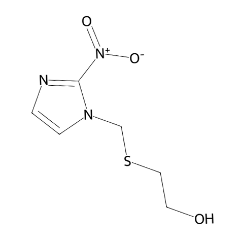 O=[N+]([O-])c1nccn1CSCCO